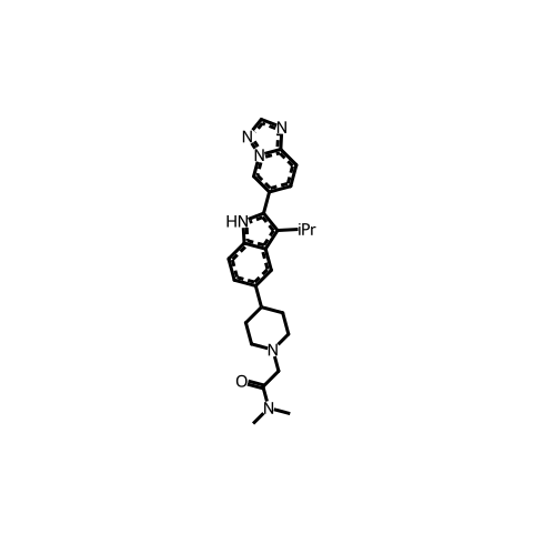 CC(C)c1c(-c2ccc3ncnn3c2)[nH]c2ccc(C3CCN(CC(=O)N(C)C)CC3)cc12